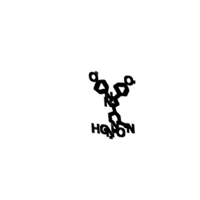 COc1ccc(-c2cc(C3CCN(C(=O)N(C)O)C(C#N)C3)nn2-c2ccc(OC)cc2)cc1